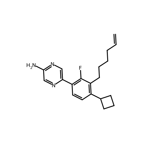 C=CCCCCc1c(C2CCC2)ccc(-c2cnc(N)cn2)c1F